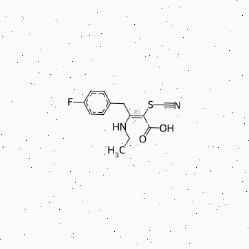 CCN/C(Cc1ccc(F)cc1)=C(/SC#N)C(=O)O